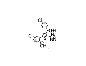 COc1cnc(Cl)cc1-c1cc(C(O)c2ccc(Cl)cc2)c(-c2nnc[nH]2)s1